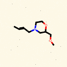 [CH2]/C=C/CN1CCOC(COC)C1